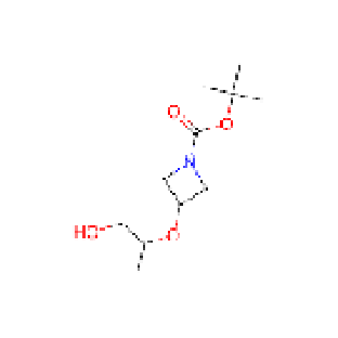 CC(CO)OC1CN(C(=O)OC(C)(C)C)C1